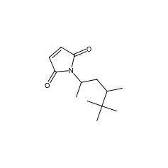 CC(CC(C)C(C)(C)C)N1C(=O)C=CC1=O